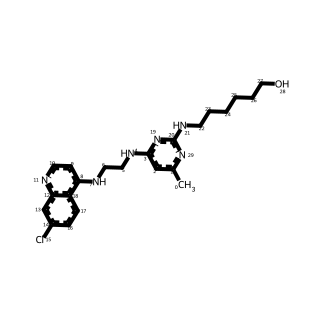 Cc1cc(NCCNc2ccnc3cc(Cl)ccc23)nc(NCCCCCCO)n1